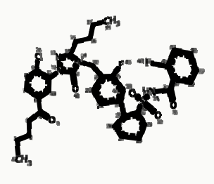 CCCCC(=O)c1ccc(Cl)c(-n2nc(CCCC)n(Cc3ccc(-c4ccccc4S(=O)(=O)NC(=O)c4ccccc4F)cc3F)c2=O)c1